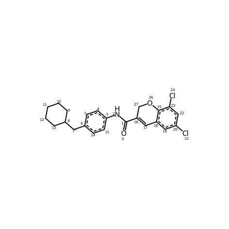 O=C(Nc1ccc([CH]C2CCCCC2)cc1)C1=Cc2cc(Cl)cc(Cl)c2OC1